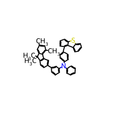 Cc1cc(C)c2c(c1)C(C)(C)c1ccc(-c3cccc(N(c4ccccc4)c4ccc(-c5cccc6sc7ccccc7c56)cc4)c3)cc1-2